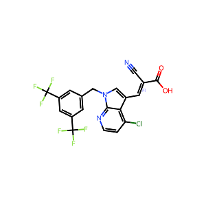 N#C/C(=C\c1cn(Cc2cc(C(F)(F)F)cc(C(F)(F)F)c2)c2nccc(Cl)c12)C(=O)O